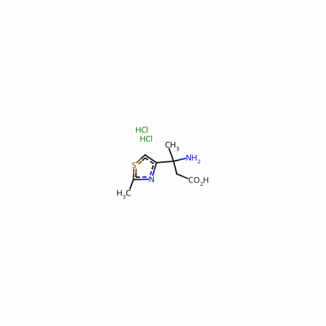 Cc1nc(C(C)(N)CC(=O)O)cs1.Cl.Cl